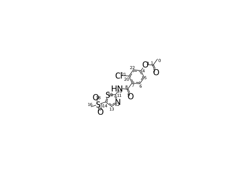 CC(=O)Oc1ccc(C(=O)Nc2ncc(S(C)(=O)=O)s2)c(Cl)c1